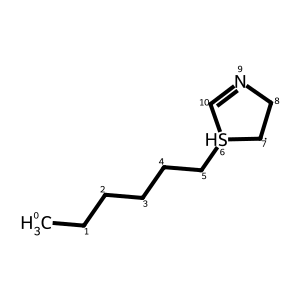 CCCCCC[SH]1[CH]CN=C1